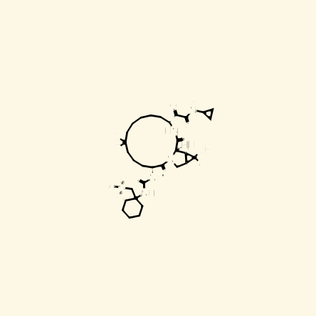 CC1(C)[C@@H]2[C@H]3C(=O)N[C@H](C(=O)C(=O)NC4CC4)CCCCCC(F)(F)CCC[C@H](NC(=O)NC4(CS(=O)(=O)C(C)(C)C)CCCCC4)C(=O)N3C[C@@H]21